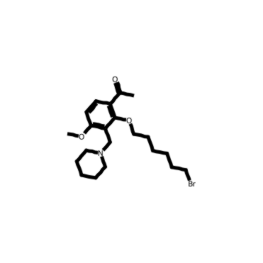 COc1ccc(C(C)=O)c(OCCCCCCBr)c1CN1CCCCC1